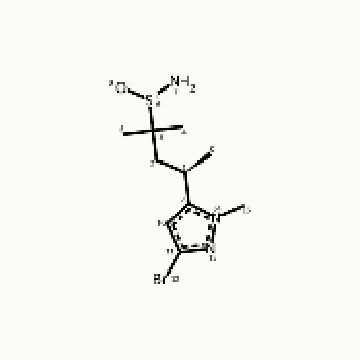 C[C@H](CC(C)(C)[S+](N)[O-])c1cc(Br)nn1C